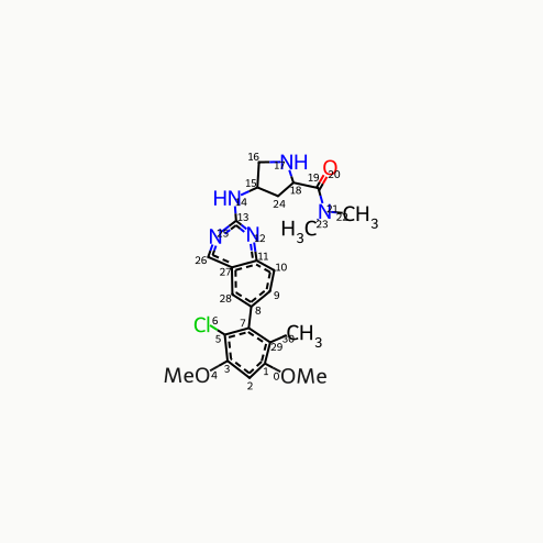 COc1cc(OC)c(Cl)c(-c2ccc3nc(NC4CNC(C(=O)N(C)C)C4)ncc3c2)c1C